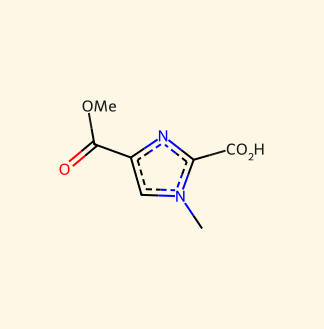 COC(=O)c1cn(C)c(C(=O)O)n1